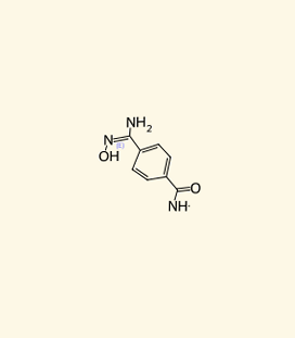 [NH]C(=O)c1ccc(/C(N)=N\O)cc1